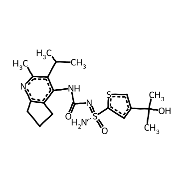 Cc1nc2c(c(NC(=O)N=[S@](N)(=O)c3cc(C(C)(C)O)cs3)c1C(C)C)CCC2